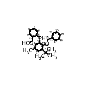 Cc1cc(Pc2ccccc2CO)c(OCc2ccccc2)c(C(C)(C)C)c1